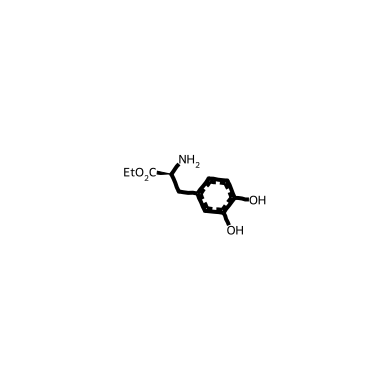 CCOC(=O)[C@@H](N)Cc1ccc(O)c(O)c1